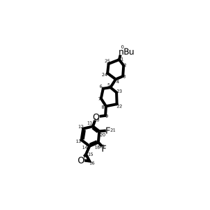 CCCCC1CCC(C2CCC(COc3ccc(C4CO4)c(F)c3F)CC2)CC1